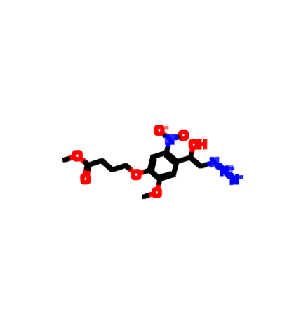 COC(=O)CCCOc1cc([N+](=O)[O-])c(C(O)CN=[N+]=[N-])cc1OC